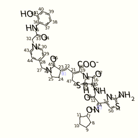 Nc1nc(/C(=N/OC2CCCC2)C(=O)N[C@@H]2C(=O)N3C(C(=O)[O-])=C(/C=C4\CCN(Cc5cc[n+](CC(=O)Nc6ccccc6O)cc5)C4=O)CS[C@H]23)cs1